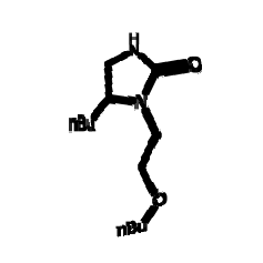 CCCCOCCN1C(=O)NCC1CCCC